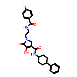 O=C(NC1CCC(c2ccccc2)CC1)C1=C(O)C(=O)N(CCNC(=O)c2ccc(Cl)cc2)C1